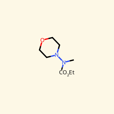 CCOC(=O)N(C)N1CCOCC1